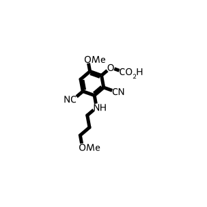 COCCCNc1c(C#N)cc(OC)c(OC(=O)O)c1C#N